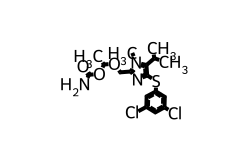 CC(OCc1nc(Sc2cc(Cl)cc(Cl)c2)c(C(C)C)n1C)OC(N)=O